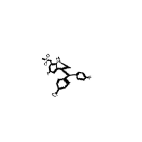 CS(=O)(=O)Cc1cc(F)cc2c1NCC2C(c1ccc(F)cc1)c1ccc(Cl)cc1